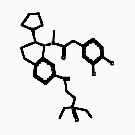 CCP(=O)(CC)CCNc1ccc2c(c1)[C@@H](N(C)C(=O)Cc1ccc(Cl)c(Cl)c1)[C@H](N1CCCC1)CC2